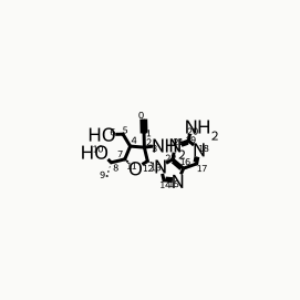 C#CC1(N)C(CO)[C@@H]([C@H](C)O)O[C@H]1n1cnc2cnc(N)nc21